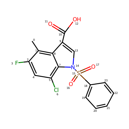 Cc1c(F)cc(Cl)c2c1c(C(=O)O)cn2S(=O)(=O)c1ccccc1